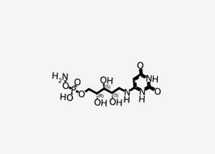 NOP(=O)(O)OC[C@@H](O)[C@@H](O)[C@@H](O)CNc1cc(=O)[nH]c(=O)[nH]1